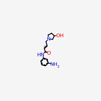 Nc1cccc(NC(=O)/C=C/CN2CCC(O)C2)c1